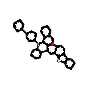 c1ccc(-c2ccc(N(c3ccccc3-c3ccc4ccc5c6ccccc6oc5c4c3)c3cccc4ccccc34)cc2)cc1